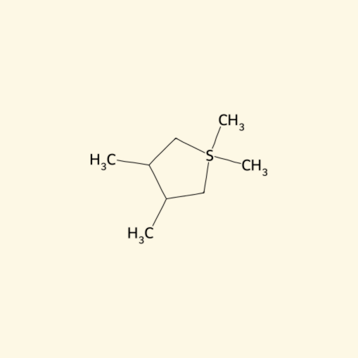 CC1CS(C)(C)CC1C